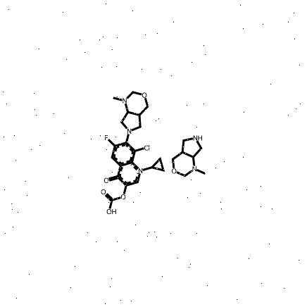 CN1COCC2CN(c3c(F)cc4c(=O)c(OC(=O)O)cn(C5CC5)c4c3Cl)CC21.CN1COCC2CNCC21